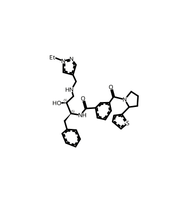 CCn1cc(CNC[C@H](O)[C@H](Cc2ccccc2)NC(=O)c2cccc(C(=O)N3CCCC3c3cccs3)c2)cn1